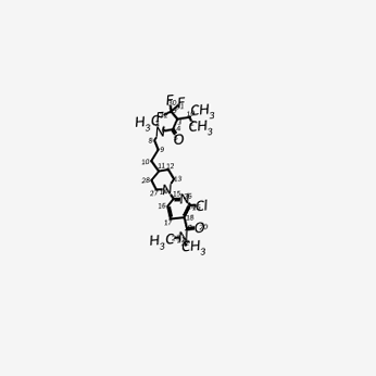 CC(C)C(C(=O)N(C)CCCC1CCN(c2ccc(C(=O)N(C)C)c(Cl)n2)CC1)C(F)(F)F